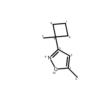 Cc1cc(C2(C)CCC2)no1